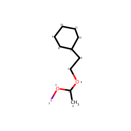 CC(OI)OCCC1CCCCC1